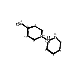 CC(C)(C)C1CCN([SiH]2CCCCO2)CC1